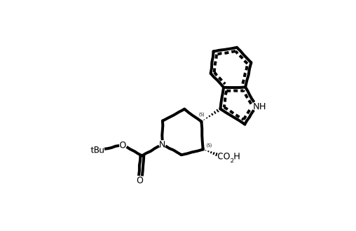 CC(C)(C)OC(=O)N1CC[C@H](c2c[nH]c3ccccc23)[C@H](C(=O)O)C1